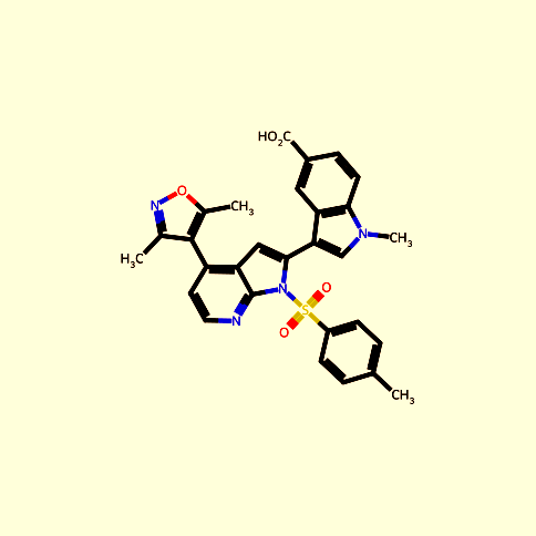 Cc1ccc(S(=O)(=O)n2c(-c3cn(C)c4ccc(C(=O)O)cc34)cc3c(-c4c(C)noc4C)ccnc32)cc1